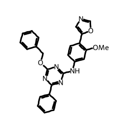 COc1cc(Nc2nc(OCc3ccccc3)nc(-c3ccccc3)n2)ccc1-c1cnco1